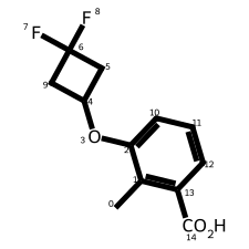 Cc1c(OC2CC(F)(F)C2)cccc1C(=O)O